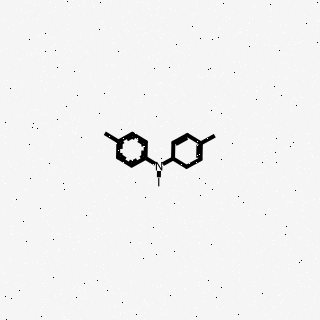 CC1=CCC(N(I)c2ccc(C)cc2)C=C1